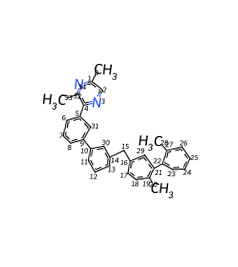 Cc1cnc(-c2cccc(-c3cccc(Cc4ccc(C)c(-c5ccccc5C)c4)c3)c2)c(C)n1